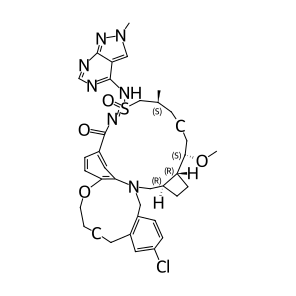 CO[C@H]1CCC[C@H](C)CS(=O)(Nc2ncnc3nn(C)cc23)=NC(=O)c2ccc3c(c2)N(Cc2ccc(Cl)cc2CCCCO3)C[C@@H]2CC[C@H]21